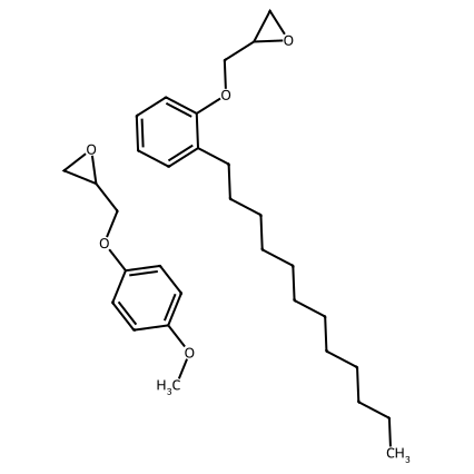 CCCCCCCCCCCCc1ccccc1OCC1CO1.COc1ccc(OCC2CO2)cc1